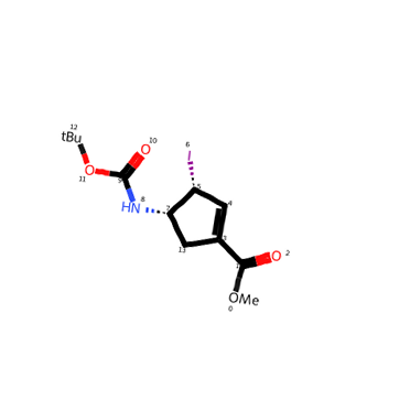 COC(=O)C1=C[C@@H](I)[C@@H](NC(=O)OC(C)(C)C)C1